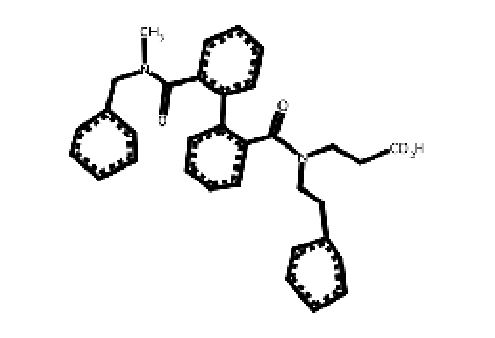 CN(Cc1ccccc1)C(=O)c1ccccc1-c1ccccc1C(=O)N(CCC(=O)O)CCc1ccccc1